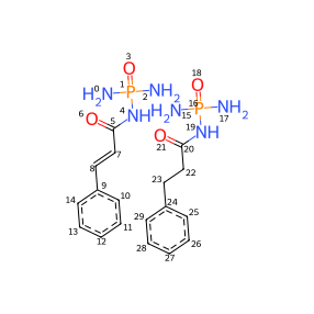 NP(N)(=O)NC(=O)/C=C/c1ccccc1.NP(N)(=O)NC(=O)CCc1ccccc1